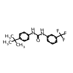 CC(C)(C)c1ccc(NC(=O)Nc2cccc(C(F)(F)F)c2)cc1